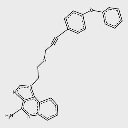 Nc1nc2ccccc2c2c1ncn2CCOCC#Cc1ccc(Oc2ccccc2)cc1